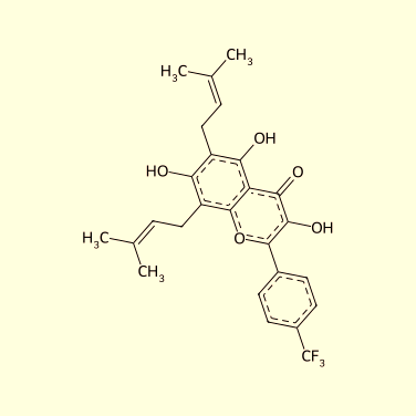 CC(C)=CCc1c(O)c(CC=C(C)C)c2oc(-c3ccc(C(F)(F)F)cc3)c(O)c(=O)c2c1O